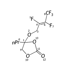 CCCC1(OCC(F)=C(F)C(F)(F)F)COC(=O)O1